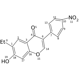 CCc1cc2c(=O)c(-c3ccc([N+](=O)[O-])cc3)coc2cc1O